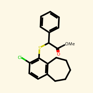 COC(=O)C(Sc1c(Cl)ccc2c1CCCCC2)c1ccccc1